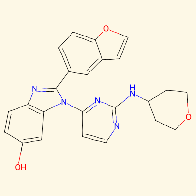 Oc1ccc2nc(-c3ccc4occc4c3)n(-c3ccnc(NC4CCOCC4)n3)c2c1